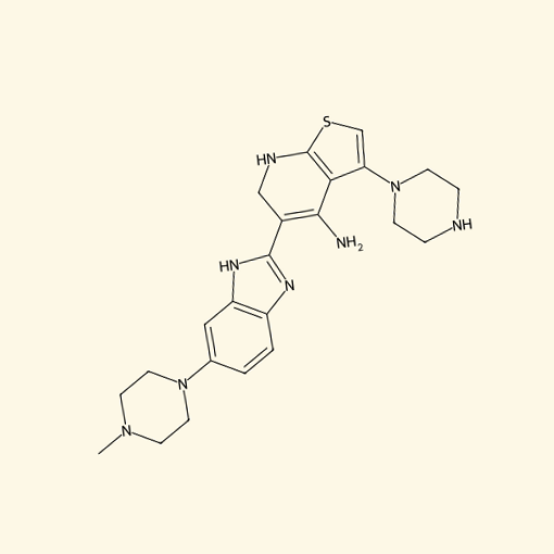 CN1CCN(c2ccc3nc(C4=C(N)c5c(N6CCNCC6)csc5NC4)[nH]c3c2)CC1